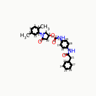 Cc1ccc(C)c(N2CC(OC(=O)Nc3ccc(NC(=O)Cc4ccccc4)cc3)CC2=O)c1